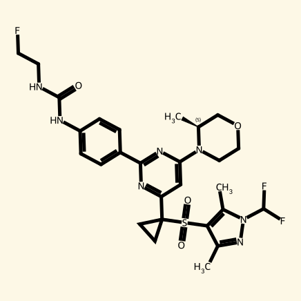 Cc1nn(C(F)F)c(C)c1S(=O)(=O)C1(c2cc(N3CCOC[C@@H]3C)nc(-c3ccc(NC(=O)NCCF)cc3)n2)CC1